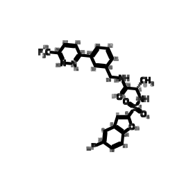 C[C@H](NS(=O)(=O)c1cc2cc(F)ccc2o1)C(=O)NCc1cccc(-c2ccc(C(F)(F)F)nn2)c1